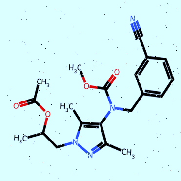 COC(=O)N(Cc1cccc(C#N)c1)c1c(C)nn(CC(C)OC(C)=O)c1C